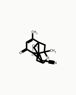 CC1=CC(=O)[C@@](C)(CCC#N)C2C3CC4CC12CC4(C)O3